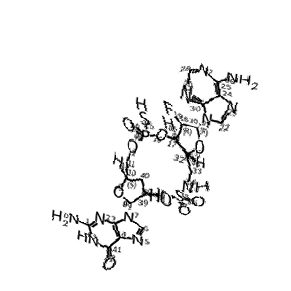 Nc1nc2c(ncn2[C@@H]2O[C@@H]3CO[P@@](=O)(S)O[C@H]4[C@@H](F)[C@H](n5cnc6c(N)ncnc65)O[C@@H]4CNS(=O)(=O)O[C@@H]2C3)c(=O)[nH]1